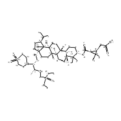 COP(=O)(CO[C@H](C)[C@@H](CN[C@]12CC[C@@H](C(C)C)[C@@H]1[C@H]1CC[C@@H]3[C@@]4(C)CC[C@H](OC(=O)[C@H]5[C@@H](CC(=O)O)C5(C)C)C(C)(C)[C@@H]4CC[C@@]3(C)[C@]1(C)CC2)N1CCS(=O)(=O)CC1)OC